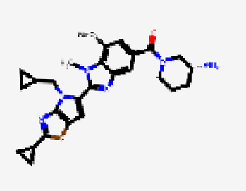 COc1cc(C(=O)N2CCC[C@@H](N)C2)cc2nc(-c3cc4sc(C5CC5)nc4n3CC3CC3)n(C)c12